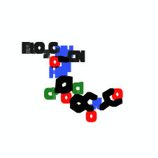 CCOC(=O)NC(=O)C(C#N)=NNc1cc(Cl)c(Oc2ccc3c(c2)CCN(CC2CCOCC2)C3=O)c(Cl)c1